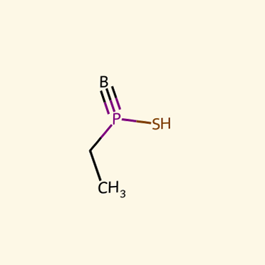 B#P(S)CC